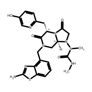 CNC(=O)N(C)N1CC(=O)N2[C@@H](Cc3ccc(O)cn3)C(=O)N(Cc3cccc4sc(N)nc34)C[C@@H]21